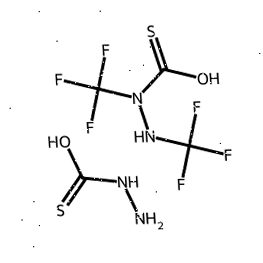 NNC(O)=S.OC(=S)N(NC(F)(F)F)C(F)(F)F